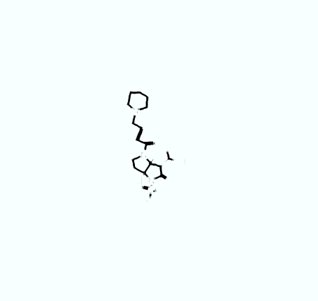 CC(C)[C@H]1C(=O)N(S(C)(=O)=O)[C@H]2CCN(C(=O)/C=C/CN3CCCCC3)[C@H]12